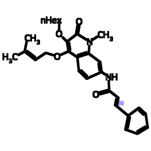 CCCCCCOc1c(OCC=C(C)C)c2ccc(NC(=O)/C=C/c3ccccc3)cc2n(C)c1=O